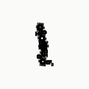 O=C(NCC(=O)N1CC[C@@H]2[C@H]1CCN2C1CCC(NC(=O)c2ccccn2)CC1)c1cccc(C(F)(F)F)c1